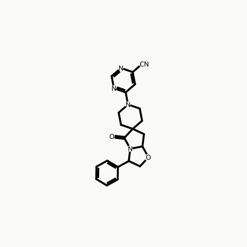 N#Cc1cc(N2CCC3(CC2)CC2OCC(c4ccccc4)N2C3=O)ncn1